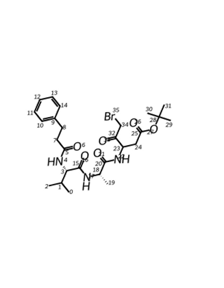 CC(C)[C@H](NC(=O)CCc1ccccc1)C(=O)N[C@@H](C)C(=O)NC(CC(=O)OC(C)(C)C)C(=O)CBr